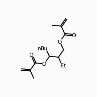 C=C(C)C(=O)OCC(CC)C(CCCC)OC(=O)C(=C)C